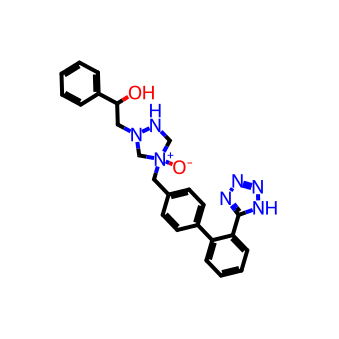 [O-][N+]1(Cc2ccc(-c3ccccc3-c3nnn[nH]3)cc2)CNN(CC(O)c2ccccc2)C1